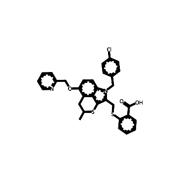 CC1Cc2c(OCc3ccccn3)ccc3c2c(c(CSc2ccccc2C(=O)O)n3Cc2ccc(Cl)cc2)S1